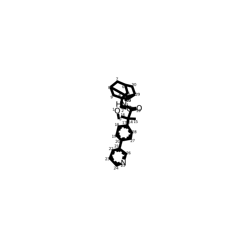 COC(=O)C12CC3CC(C1)C(NC(=O)C(C)(C)c1ccc(-c4cccnc4)cc1)C(C3)C2